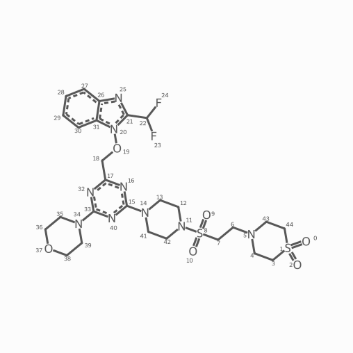 O=S1(=O)CCN(CCS(=O)(=O)N2CCN(c3nc(COn4c(C(F)F)nc5ccccc54)nc(N4CCOCC4)n3)CC2)CC1